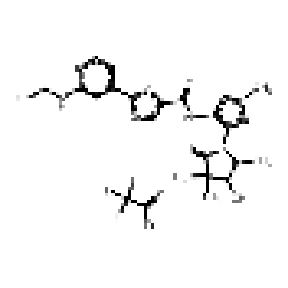 C[C@H]1C(O)C(C)(C)C(=O)N1c1nn(C)cc1NC(=O)c1coc(-c2ccnc(NCC(F)(F)F)c2)n1.O=C(O)C(F)(F)F